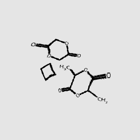 C1CCC1.CC1OC(=O)C(C)OC1=O.O=C1COC(=O)CO1